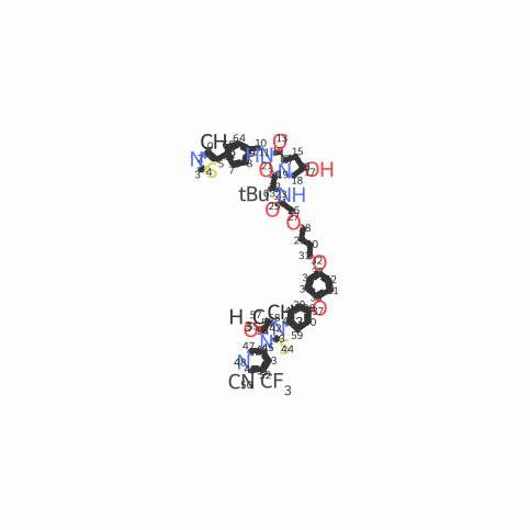 Cc1ncsc1-c1ccc(CNC(=O)[C@@H]2C[C@@H](O)CN2C(=O)C(NC(=O)COCCCCOc2ccc(Oc3ccc(N4C(=S)N(c5cnc(C#N)c(C(F)(F)F)c5)C(=O)C4(C)C)cc3)cc2)C(C)(C)C)cc1